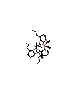 C#CCc1cccc(CCC)c1OP(=O)(Oc1c(CC#C)cccc1CCC)Oc1c(CC#C)cccc1CCC